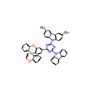 CC(C)(C)c1ccc2c(c1)c1cc(C(C)(C)C)ccc1n2-c1nc(-c2ccc3c(c2)Oc2ccccc2S32c3ccccc3Oc3ccccc32)nc(-n2c3ccccc3c3ccccc32)n1